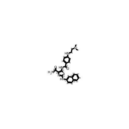 CN(C)CCNc1ccc(C(=O)Nc2sc(Nc3ccc4ccccc4c3)nc2C(N)=O)cc1